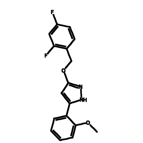 COc1ccccc1-c1cc(OCc2ccc(F)cc2F)n[nH]1